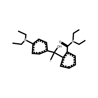 CCN(CC)C(=O)c1ccccc1C(O)(I)c1ccc(N(CC)CC)cc1